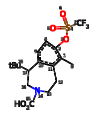 Cc1c(OS(=O)(=O)C(F)(F)F)ccc2c1CCN(C(=O)O)CC2C(C)(C)C